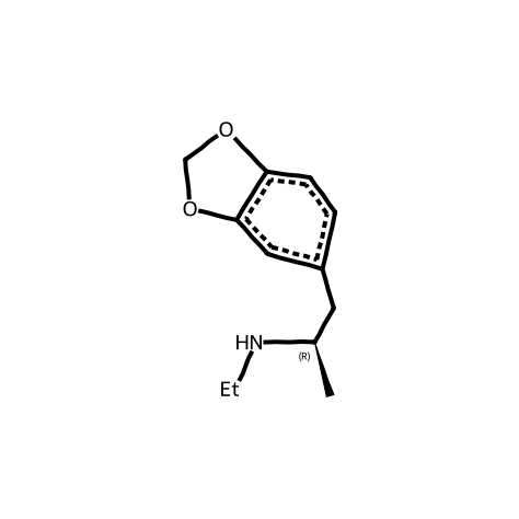 CCN[C@H](C)Cc1ccc2c(c1)OCO2